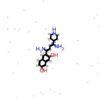 N/C(=C\C=C(/N)C1CCNCC1)c1cc2ccc(O)cc2cc1O